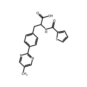 Cc1cnc(-c2ccc(CC(NC(=O)c3cccs3)C(=O)O)cc2)nc1